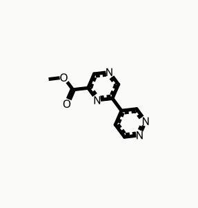 COC(=O)c1cncc(-c2ccnnc2)n1